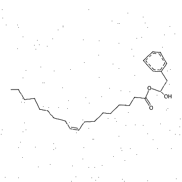 CCCCCCCC/C=C\CCCCCCCC(=O)OC(O)Cc1ccccc1